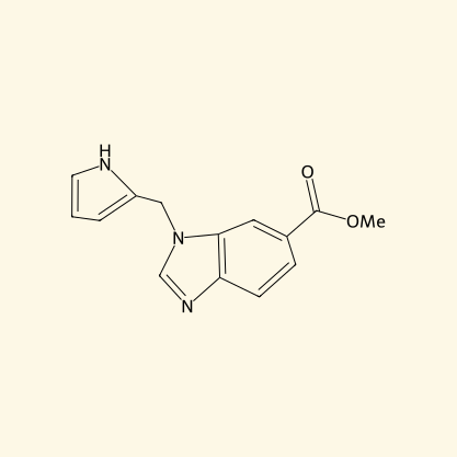 COC(=O)c1ccc2ncn(Cc3ccc[nH]3)c2c1